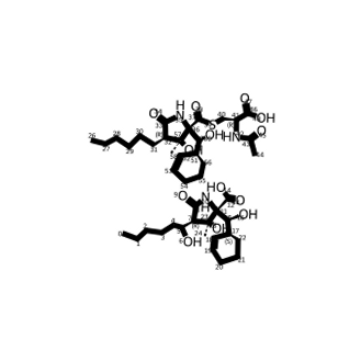 CCCCCC(O)[C@H]1C(=O)N[C@](C(=O)O)([C@@H](O)[C@@H]2C=CCCC2)[C@@]1(C)O.CCCCCC[C@H]1C(=O)N[C@](C(=O)SC[C@H](NC(C)=O)C(=O)O)([C@@H](O)[C@@H]2C=CCCC2)[C@@]1(C)O